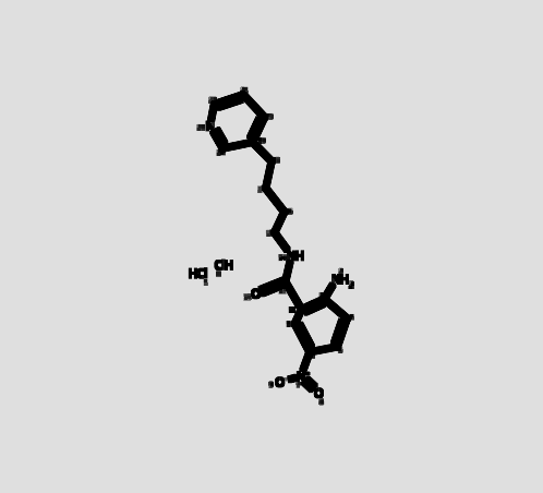 Cl.Cl.Nc1ccc([N+](=O)[O-])cc1C(=O)NCCCCc1cccnc1